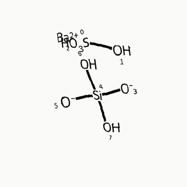 O=S(=O)(O)O.[Ba+2].[O-][Si]([O-])(O)O